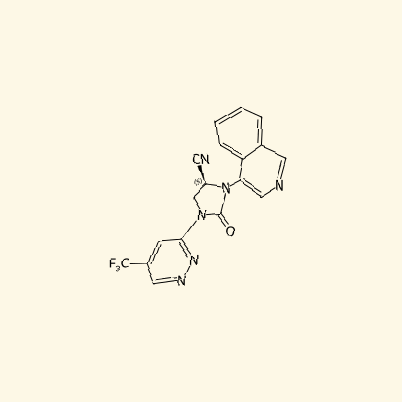 N#C[C@@H]1CN(c2cc(C(F)(F)F)cnn2)C(=O)N1c1cncc2ccccc12